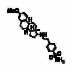 COc1ccc2c(c1)CC[C@@H]1[C@@H]2CC[C@]2(C)[C@@H](NCCc3ccc(S(N)(=O)=O)cc3)CC[C@@H]12